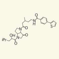 CC(C)CC(O)C(=O)N1CC(=O)C2C1CCN2C(=O)CC(C)CCNC(=O)c1ccc(-c2cccs2)cc1